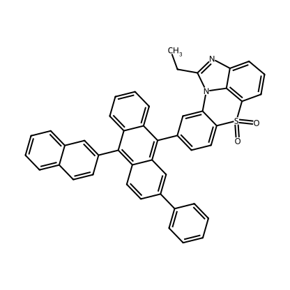 CCc1nc2cccc3c2n1-c1cc(-c2c4ccccc4c(-c4ccc5ccccc5c4)c4ccc(-c5ccccc5)cc24)ccc1S3(=O)=O